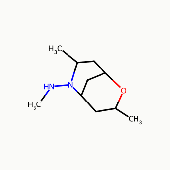 CNN1C(C)CC2CC1CC(C)O2